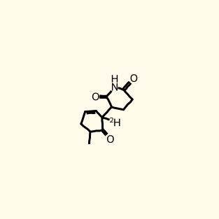 [2H]C1(C2CCC(=O)NC2=O)C=CCC(C)C1=O